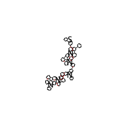 C1=CC(N(c2ccc(-c3ccc4c5cc(-c6cccc(N7c8ccccc8C8(c9ccccc9-c9ccc(N(c%10ccc(-c%11ccc%12sc%13ccccc%13c%12c%11)cc%10)c%10ccccc%10-c%10cccc(-c%11ccccc%11)c%10)cc98)c8ccccc87)c6)ccc5n(-c5ccccc5)c4c3)cc2)c2ccccc2-c2cccc(-c3ccccc3)c2)CC2=C1c1ccccc1C21c2ccccc2N(c2ccccc2)c2ccccc21